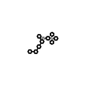 c1ccc(-c2cccc(-c3ccc(-c4ccc(Nc5ccc([Si](c6ccccc6)(c6ccccc6)c6ccccc6)cc5)c(-c5ccccc5)c4)cc3)c2)cc1